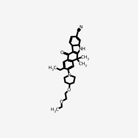 CCOCCOC1CCN(c2cc3c(cc2CC)C(=O)C2=C(NC4C=C(C#N)C=CC24)C3(C)C)CC1